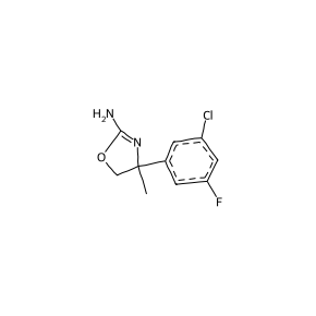 CC1(c2cc(F)cc(Cl)c2)COC(N)=N1